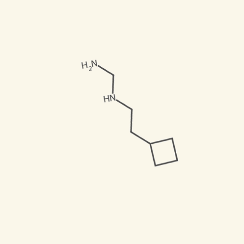 NCNCCC1CCC1